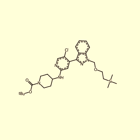 CC(C)(C)OC(=O)N1CCC(Nc2cc(-c3nn(COCC[Si](C)(C)C)c4ccccc34)c(Cl)cn2)CC1